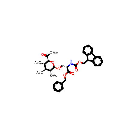 COC(=O)[C@H]1O[C@@H](OC[C@H](NC(=O)OCC2c3ccccc3-c3ccccc32)C(=O)OCc2ccccc2)[C@H](OC(C)=O)[C@@H](OC(C)=O)[C@@H]1OC(C)=O